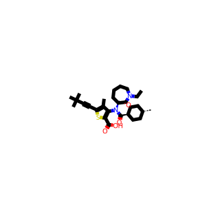 CCN1CCCC[C@H](N(c2c(C(=O)O)sc(C#CC(C)(C)C)c2C)C(=O)[C@H]2CC[C@H](C)CC2)C1=O